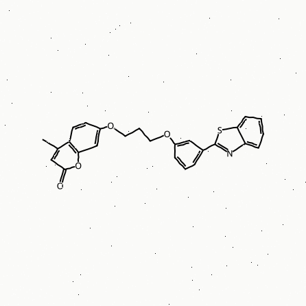 Cc1cc(=O)oc2cc(OCCCOc3cccc(-c4nc5ccccc5s4)c3)ccc12